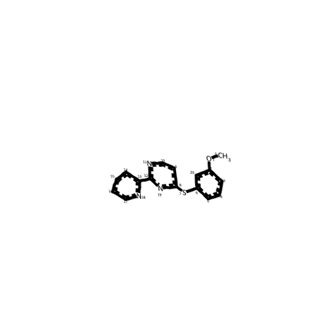 COc1cccc(Sc2ccnc(-c3ccccn3)n2)c1